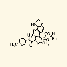 Cc1nc(C(=O)N[C@H]2CC[C@H](C)CC2)c(C)c(-c2ccc3c(c2F)NCCO3)c1[C@H](OC(C)(C)C)C(=O)O